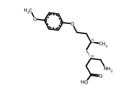 COc1ccc(OCC[C@@H](C)C[C@H](CN)CC(=O)O)cc1